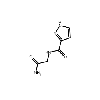 NC(=O)CNC(=O)c1cc[nH]n1